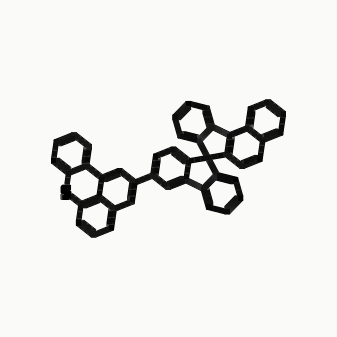 c1ccc2c(c1)Sc1cccc3cc(-c4ccc5c(c4)-c4ccccc4C54c5ccccc5-c5c4ccc4ccccc54)cc-2c13